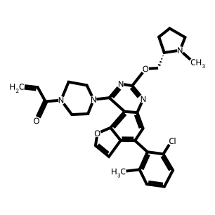 C=CC(=O)N1CCN(c2nc(OC[C@@H]3CCCN3C)nc3cc(-c4c(C)cccc4Cl)c4ccoc4c23)CC1